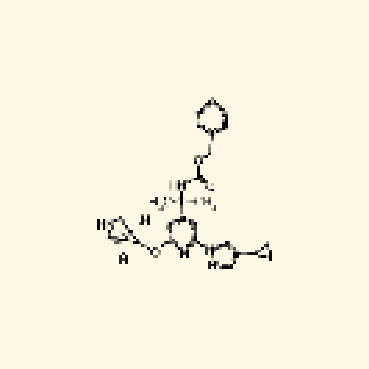 CC(C)(NC(=O)OCc1ccccc1)c1cc(OC2[C@H]3CNC[C@@H]23)nc(-n2cc(C3CC3)cn2)c1